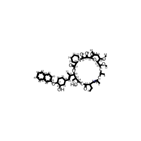 CCC1/C=C(\C)CC(C)CC(OC)C2OC(O)(C(=O)C(=O)N3CCCCC3C(=O)OC(C(C)=CC3CCC(Oc4ccc5ccccc5c4)C(O)C3)C(C)C(O)CC1=O)C(C)CC2OC